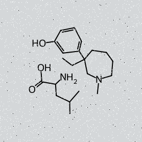 CC(C)CC(N)C(=O)O.CCC1(c2cccc(O)c2)CCCCN(C)C1